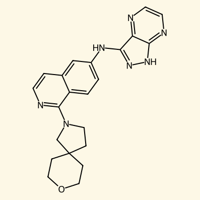 c1cc2cc(Nc3n[nH]c4nccnc34)ccc2c(N2CCC3(CCOCC3)C2)n1